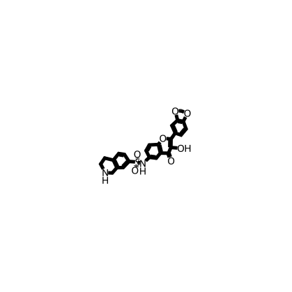 O=c1c(O)c(-c2ccc3c(c2)OCO3)oc2ccc(NS(=O)(=O)c3ccc4c(c3)CNCC4)cc12